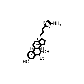 CC[C@H]1[C@@H](O)[C@@H]2[C@H](CC[C@]3(C)[C@@H](CCCc4ncc(N)[nH]4)CC[C@@H]23)[C@@]2(C)CC[C@@H](O)C[C@@H]12